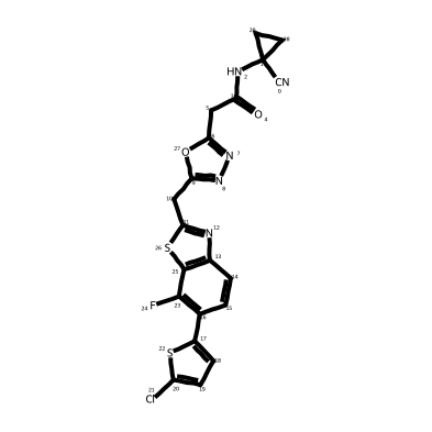 N#CC1(NC(=O)Cc2nnc(Cc3nc4ccc(-c5ccc(Cl)s5)c(F)c4s3)o2)CC1